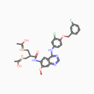 COc1cc2ncnc(Nc3ccc(OCc4cccc(F)c4)c(Cl)c3)c2cc1NC(=O)C(C[SH]=C(C)O)C[SH]=C(C)O